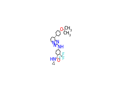 CC(C)Oc1ccc(-c2cccn3nc(Nc4ccc(C(=O)NC5CC5)c(C(F)(F)F)c4)nc23)cc1